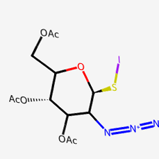 CC(=O)OCC1O[C@@H](SI)C(N=[N+]=[N-])C(OC(C)=O)[C@@H]1OC(C)=O